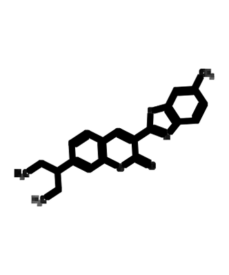 CCC(CC)c1ccc2cc(-c3nc4ccc(C)cc4s3)c(=O)oc2c1